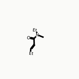 CCC=CC(=O)N(C)CC